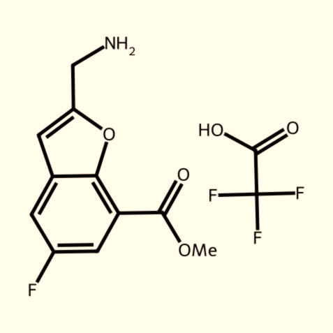 COC(=O)c1cc(F)cc2cc(CN)oc12.O=C(O)C(F)(F)F